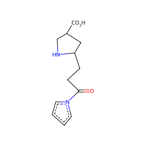 O=C(O)C1CNC(CCC(=O)n2cccc2)C1